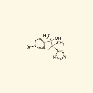 CC1(O)c2ccc(Br)cc2CC1(C)n1cncn1